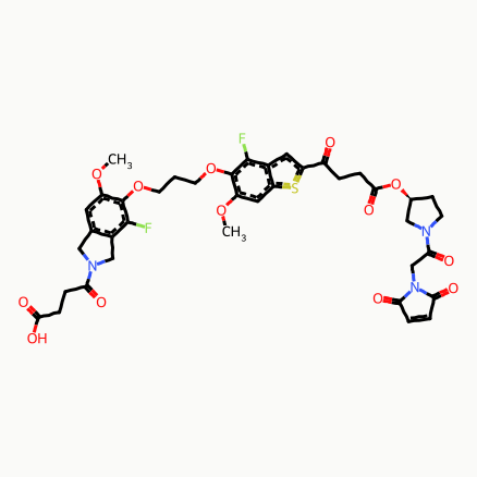 COc1cc2c(c(F)c1OCCCOc1c(OC)cc3sc(C(=O)CCC(=O)O[C@H]4CCN(C(=O)CN5C(=O)C=CC5=O)C4)cc3c1F)CN(C(=O)CCC(=O)O)C2